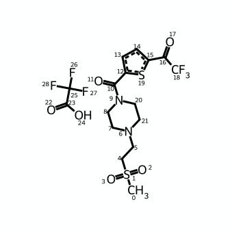 CS(=O)(=O)CCN1CCN(C(=O)c2ccc(C(=O)C(F)(F)F)s2)CC1.O=C(O)C(F)(F)F